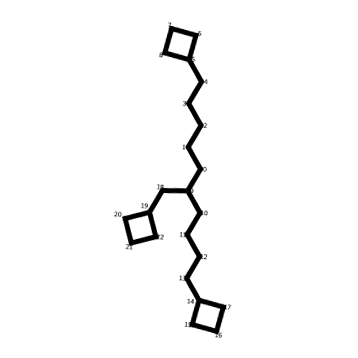 [CH](CCCCC1CCC1)C(CCCCC1CCC1)CC1CCC1